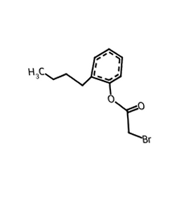 CCCCc1ccccc1OC(=O)CBr